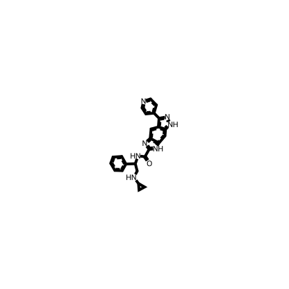 O=C(NC(CNC1CC1)c1ccccc1)c1nc2cc3c(-c4ccncc4)n[nH]c3cc2[nH]1